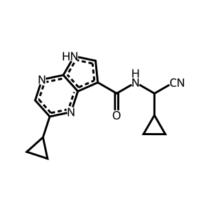 N#CC(NC(=O)c1c[nH]c2ncc(C3CC3)nc12)C1CC1